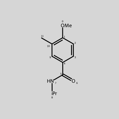 COc1ccc(C(=O)NC(C)C)cc1C